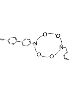 C#Cc1ccc(-c2ccc(N3CCOCCOCCN(Cc4ccccc4)CCOCCOCC3)cc2)cc1